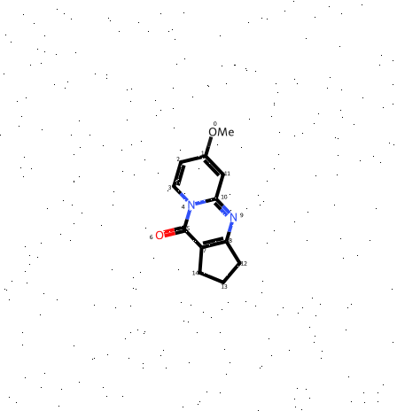 COc1ccn2c(=O)c3c(nc2c1)CCC3